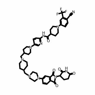 N#Cc1ccc(N2CCC(C(=O)Nc3ccc(N4CCC(CN5CCC(CN6CCN(c7ccc8c(c7)C(=O)N(C7CCC(=O)NC7=O)C8=O)CC6)CC5)CC4)cn3)CC2)cc1C(F)(F)F